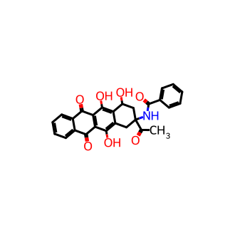 CC(=O)C1(NC(=O)c2ccccc2)Cc2c(O)c3c(c(O)c2C(O)C1)C(=O)c1ccccc1C3=O